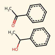 CC(=O)c1ccccc1.CC(O)c1ccccc1